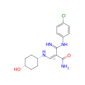 N=C(Nc1ccc(Cl)cc1)/C(=C\N[C@H]1CC[C@@H](O)CC1)C(N)=O